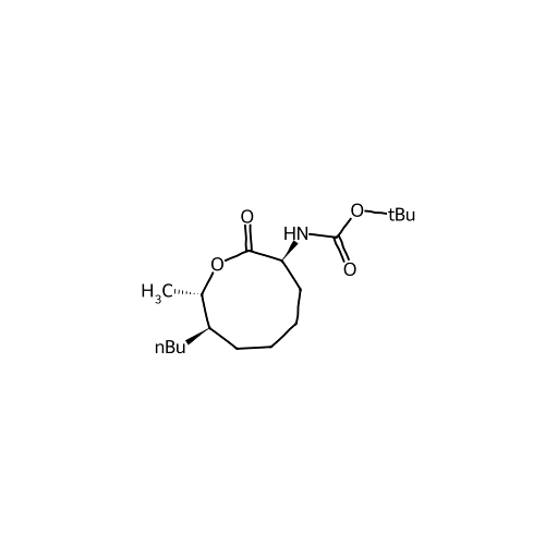 CCCC[C@@H]1CCCC[C@H](NC(=O)OC(C)(C)C)C(=O)O[C@H]1C